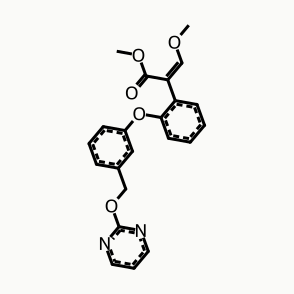 COC=C(C(=O)OC)c1ccccc1Oc1cccc(COc2ncccn2)c1